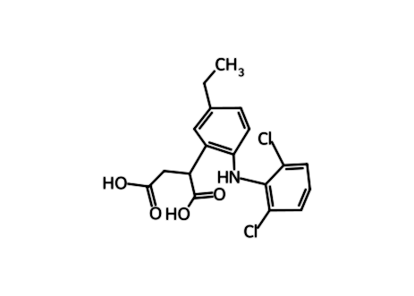 CCc1ccc(Nc2c(Cl)cccc2Cl)c(C(CC(=O)O)C(=O)O)c1